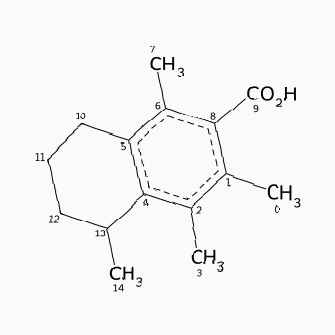 Cc1c(C)c2c(c(C)c1C(=O)O)CCCC2C